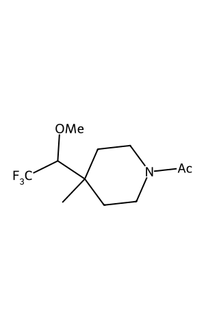 COC(C(F)(F)F)C1(C)CCN(C(C)=O)CC1